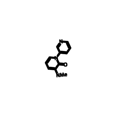 CNc1cccn(-c2cccnc2)c1=O